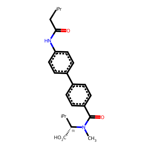 CC(C)CC(=O)Nc1ccc(-c2ccc(C(=O)N(C)[C@H](C(=O)O)C(C)C)cc2)cc1